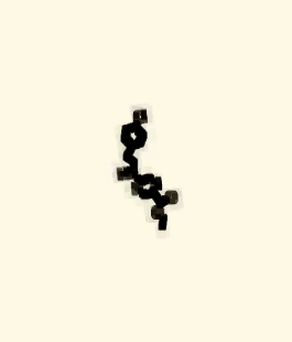 CCOC(=O)c1cnc(NCCc2ccc(Cl)cc2)cn1